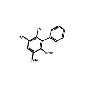 COc1cc(N)c(C#N)c(-c2ccccc2)c1OC